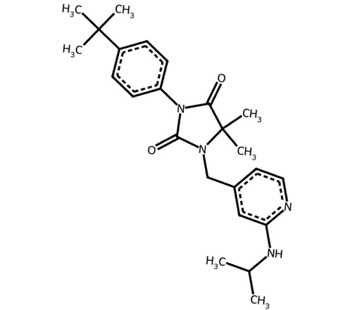 CC(C)Nc1cc(CN2C(=O)N(c3ccc(C(C)(C)C)cc3)C(=O)C2(C)C)ccn1